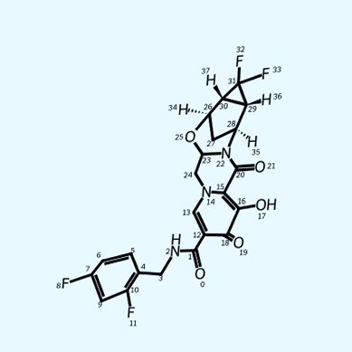 O=C(NCc1ccc(F)cc1F)c1cn2c(c(O)c1=O)C(=O)N1C(C2)O[C@@H]2C[C@H]1[C@@H]1[C@H]2C1(F)F